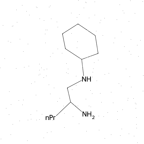 CCCC(N)CNC1CCCCC1